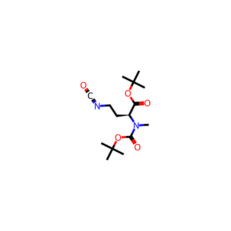 CN(C(=O)OC(C)(C)C)[C@@H](CCN=C=O)C(=O)OC(C)(C)C